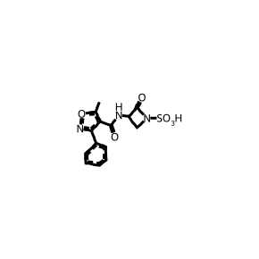 Cc1onc(-c2ccccc2)c1C(=O)NC1CN(S(=O)(=O)O)C1=O